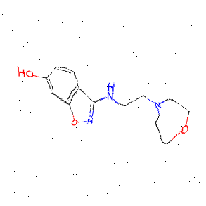 Oc1ccc2c(NCCN3CCOCC3)noc2c1